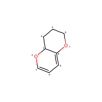 C1=COC2CCCOC2=C1